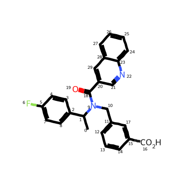 CC(c1ccc(F)cc1)N(Cc1cccc(C(=O)O)c1)C(=O)c1cnc2ccccc2c1